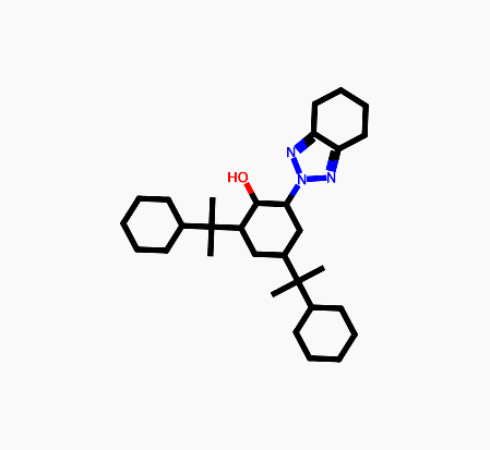 CC(C)(C1CCCCC1)C1CC(n2nc3c(n2)CCCC3)C(O)C(C(C)(C)C2CCCCC2)C1